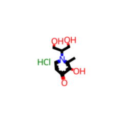 Cc1c(O)c(=O)ccn1C(CO)CO.Cl